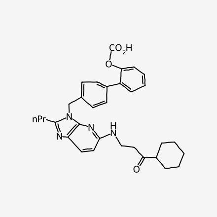 CCCc1nc2ccc(NCCC(=O)C3CCCCC3)nc2n1Cc1ccc(-c2ccccc2OC(=O)O)cc1